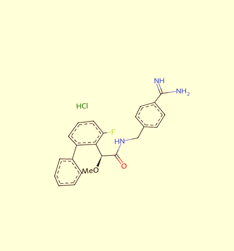 CO[C@H](C(=O)NCc1ccc(C(=N)N)cc1)c1c(F)cccc1-c1ccccc1.Cl